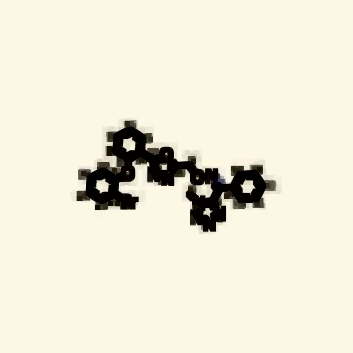 Cn1nnnc1/C(=N\OCc1nnc(-c2ccccc2Oc2ccccc2Br)o1)c1ccccc1